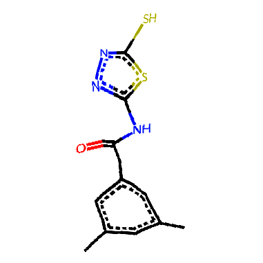 Cc1cc(C)cc(C(=O)Nc2nnc(S)s2)c1